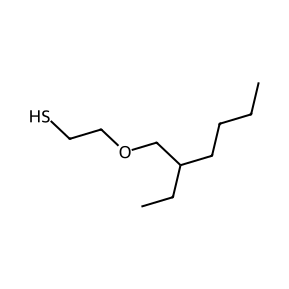 CCCCC(CC)COCCS